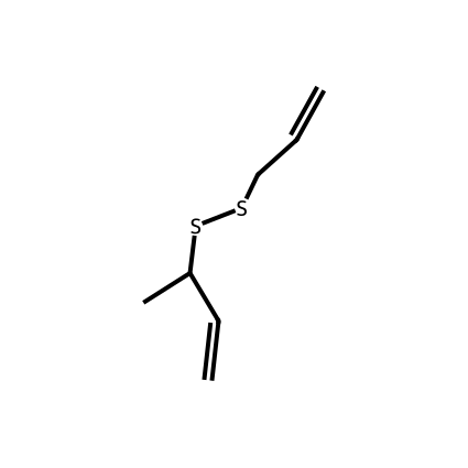 C=CCSSC(C)C=C